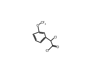 O=C(Cl)C(Cl)c1cccc(OC(F)(F)F)c1